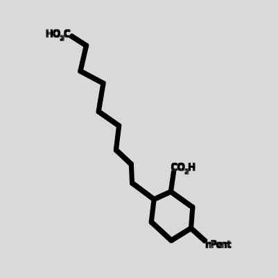 CCCCCC1CCC(CCCCCCCCC(=O)O)C(C(=O)O)C1